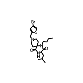 CCCCN1C(=O)C(CC(C)C)NC(=O)C12CCN(Cc1cc(Br)cs1)CC2